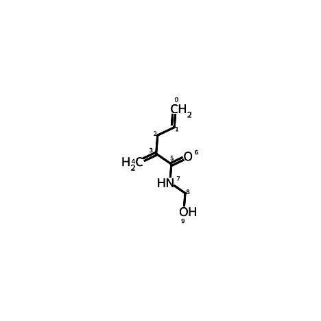 C=CCC(=C)C(=O)NCO